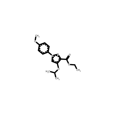 CCOC(=O)c1nn(-c2ccc(OC)cc2)cc1OC(C)C